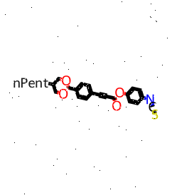 CCCCCC1COC(c2ccc(C#CC(=O)Oc3ccc(N=C=S)cc3)cc2)OC1